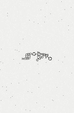 COC(=O)Cn1c(-c2ccc(O[C@@H]3CO[C@H]4[C@@H]3OC[C@H]4O)cc2)ncc(NC(=O)c2cnc(-c3ccccc3)s2)c1=O